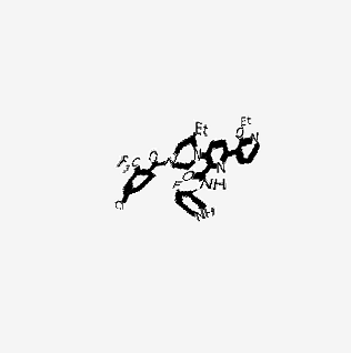 CCOc1ncccc1-c1ccc(N2CCN(C(=O)c3ccc(Cl)cc3C(F)(F)F)C[C@H]2CC)c(C(=O)N[C@@H]2CNC[C@H]2F)n1